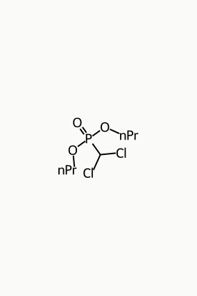 CCCOP(=O)(OCCC)C(Cl)Cl